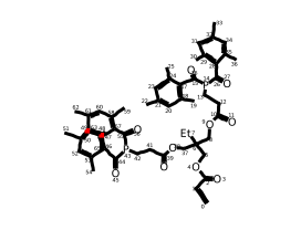 C=CC(=O)OCC(CC)(COC(=O)CCP(C(=O)c1c(C)cc(C)cc1C)C(=O)c1c(C)cc(C)cc1C)COC(=O)CCP(C(=O)c1c(C)cc(C)cc1C)C(=O)c1c(C)cc(C)cc1C